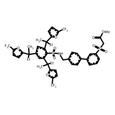 CCC(C)(c1cc(C(C)(CC)c2ccc(C(F)(F)F)o2)c(S(=O)(=O)NCc2ccc(-c3cccc(S(=O)(=O)CC(=O)OC)c3)cc2)c(C(C)(CC)c2ccc(C(F)(F)F)o2)c1)c1ccc(C(F)(F)F)o1